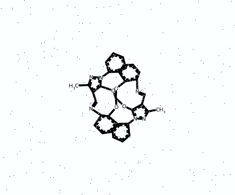 Cc1nn(-c2ccccc2)c2c1/C=N/c1ccccc1OC1(Oc3ccccc3/N=C/c3c(C)nn(-c4ccccc4)c3O1)O2